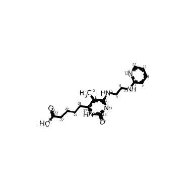 Cc1c(NCCNc2ccccn2)nc(=O)[nH]c1CCCCC(=O)O